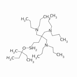 CCCN(CCC)CC(CC[SiH2]OC(C)(CC)CC)(CN(CCC)CCC)CN(CCC)CCC